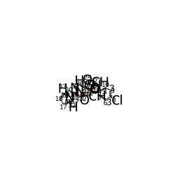 CC(C)(Oc1ccc(Cl)cc1)C(=O)N[C@H]1C[C@H]2CC[C@@H](C1)N2c1ccc(S(C)(=O)=O)cn1